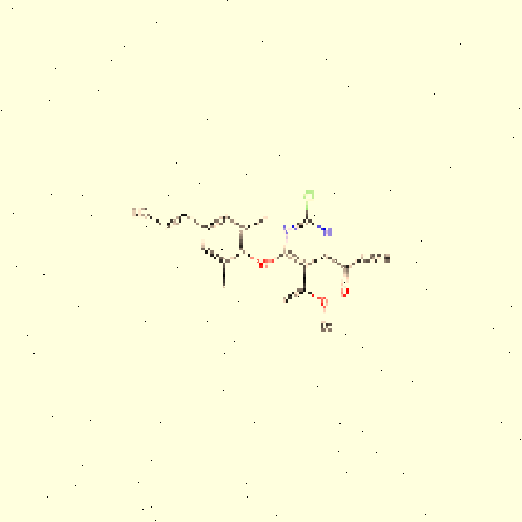 C=C(OCC)c1c(Oc2c(C)cc(/C=C/C#N)cc2C)nc(Cl)nc1C(=O)OC